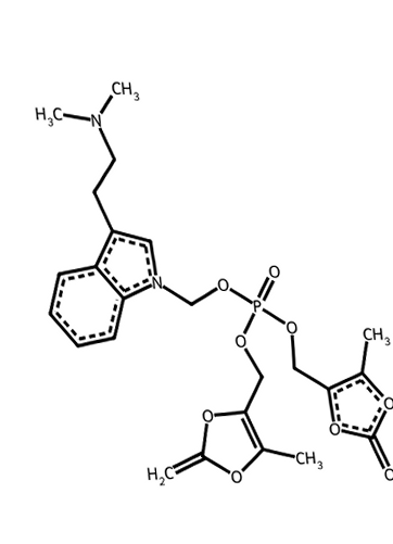 C=C1OC(C)=C(COP(=O)(OCc2oc(=O)oc2C)OCn2cc(CCN(C)C)c3ccccc32)O1